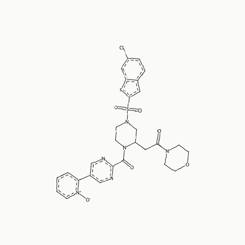 O=C(CC1CN(S(=O)(=O)c2cc3ccc(Cl)cc3s2)CCN1C(=O)c1ncc(-c2cccc[n+]2[O-])cn1)N1CCOCC1